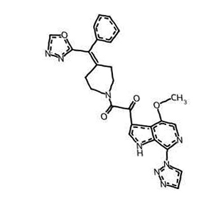 COc1cnc(-n2ccnn2)c2[nH]cc(C(=O)C(=O)N3CCC(=C(c4ccccc4)c4nnco4)CC3)c12